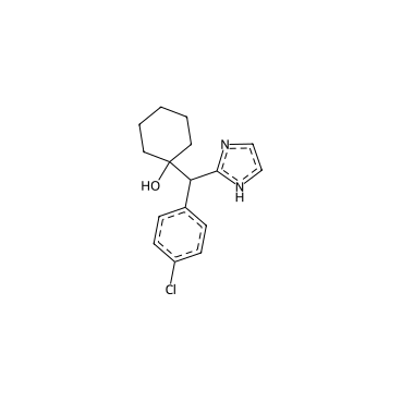 OC1(C(c2ccc(Cl)cc2)c2ncc[nH]2)CCCCC1